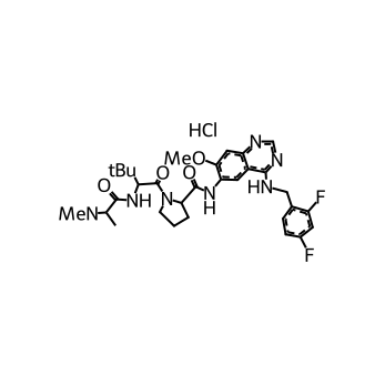 CNC(C)C(=O)NC(C(=O)N1CCCC1C(=O)Nc1cc2c(NCc3ccc(F)cc3F)ncnc2cc1OC)C(C)(C)C.Cl